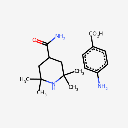 CC1(C)CC(C(N)=O)CC(C)(C)N1.Nc1ccc(C(=O)O)cc1